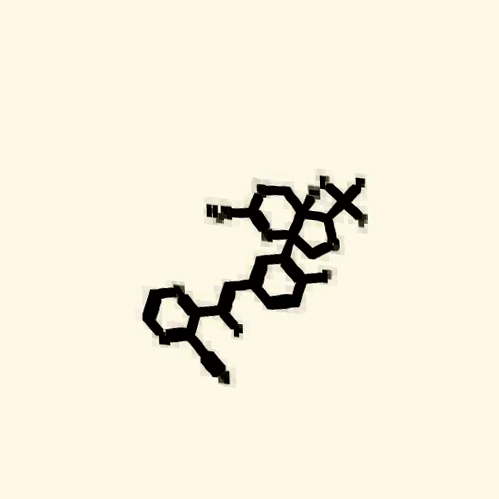 N#Cc1nccnc1/C(F)=C/c1ccc(F)c([C@]23CO[C@H](C(F)(F)F)[C@H]2CSC(N)=N3)c1